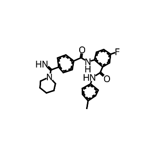 Cc1ccc(NC(=O)c2cc(F)ccc2NC(=O)c2ccc(C(=N)N3CCCCC3)cc2)cc1